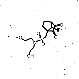 CC(C)C1C2CCC1(CS(=O)(=O)N(CCO)CCO)C(=O)C2=O